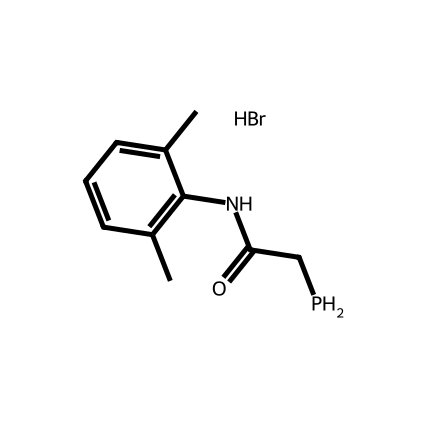 Br.Cc1cccc(C)c1NC(=O)CP